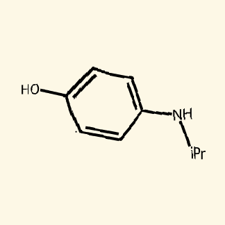 CC(C)Nc1c[c]c(O)cc1